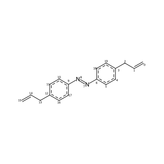 C=CCc1ccc(/N=N/c2ccc(CC=C)cc2)cc1